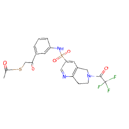 CC(=O)SCC(=O)c1cccc(NS(=O)(=O)c2cnc3c(c2)CN(C(=O)C(F)(F)F)CC3)c1